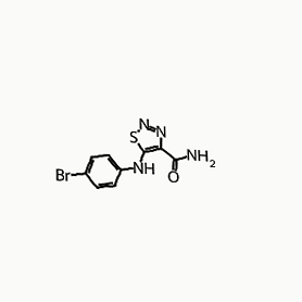 NC(=O)c1nnsc1Nc1ccc(Br)cc1